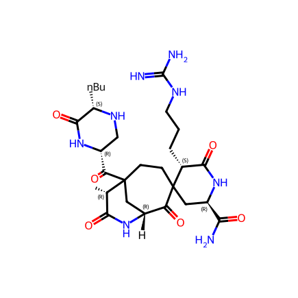 CCCC[C@@H]1NC[C@H](C(=O)C23CCC4(C[C@H](C(N)=O)NC(=O)[C@H]4CCCNC(=N)N)C(=O)[C@@H](C2)NC(=O)[C@@H]3C)NC1=O